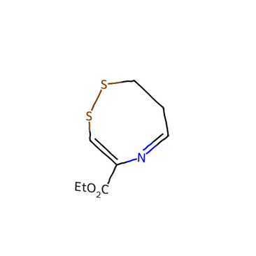 CCOC(=O)C1=CSSCCC=N1